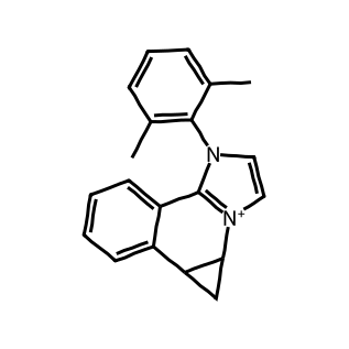 Cc1cccc(C)c1-n1cc[n+]2c1-c1ccccc1C1CC12